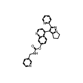 O=C(NCc1cccnc1)Oc1ccc2c(-c3c(-c4ccccn4)nn4c3CCC4)ccnc2c1